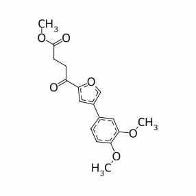 COC(=O)CCC(=O)c1cc(-c2ccc(OC)c(OC)c2)co1